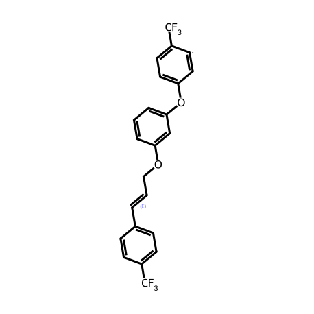 FC(F)(F)c1[c]cc(Oc2cccc(OC/C=C/c3ccc(C(F)(F)F)cc3)c2)cc1